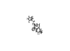 O=C(NCCc1cccs1)c1ccc(F)cc1